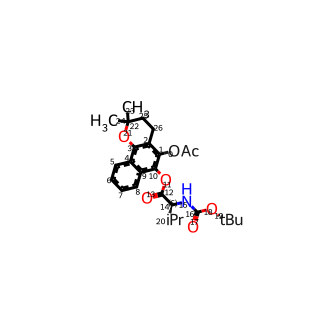 CC(=O)Oc1c2c(c3ccccc3c1OC(=O)[C@@H](NC(=O)OC(C)(C)C)C(C)C)OC(C)(C)CC2